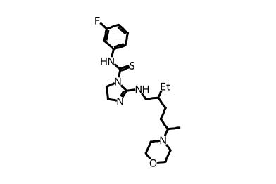 CCC(CCC(C)N1CCOCC1)CNC1=NCCN1C(=S)Nc1cccc(F)c1